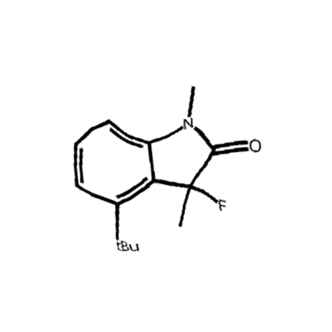 CN1C(=O)C(C)(F)c2c1cccc2C(C)(C)C